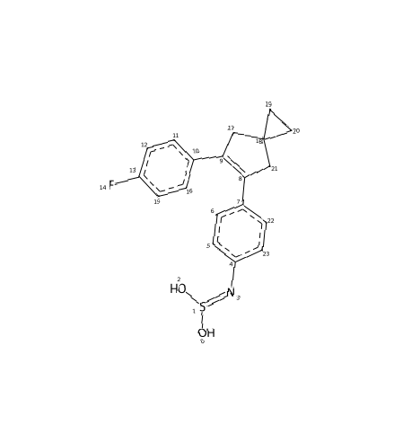 OS(O)=Nc1ccc(C2=C(c3ccc(F)cc3)CC3(CC3)C2)cc1